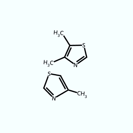 Cc1cscn1.Cc1ncsc1C